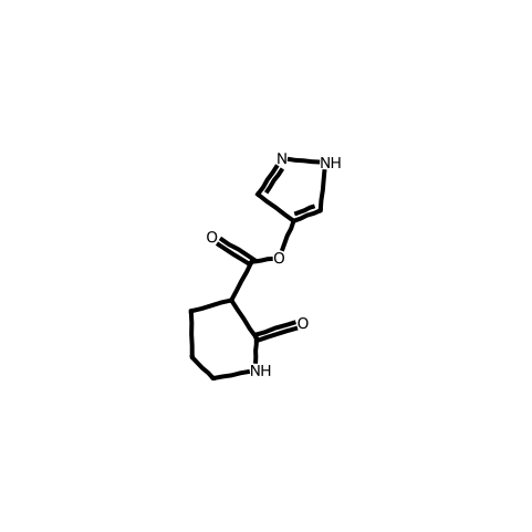 O=C1NCCCC1C(=O)Oc1cn[nH]c1